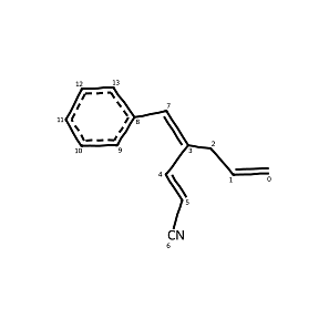 C=CCC(C=CC#N)=Cc1ccccc1